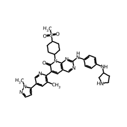 Cc1cc(-c2ccnn2C)cnc1-c1cc2cnc(Nc3ccc(NC4CCNC4)cc3)nc2n(C2CCC(S(C)(=O)=O)CC2)c1=O